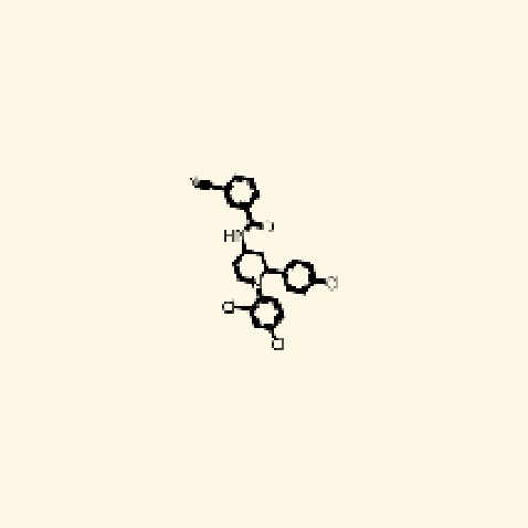 N#Cc1cccc(C(=O)NC2CCN(c3ccc(Cl)cc3Cl)C(c3ccc(Cl)cc3)C2)c1